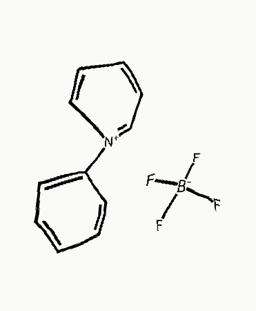 F[B-](F)(F)F.c1ccc(-[n+]2ccccc2)cc1